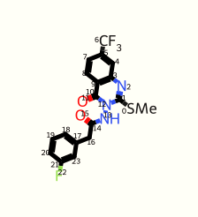 CSc1nc2cc(C(F)(F)F)ccc2c(=O)n1NC(=O)Cc1cccc(F)c1